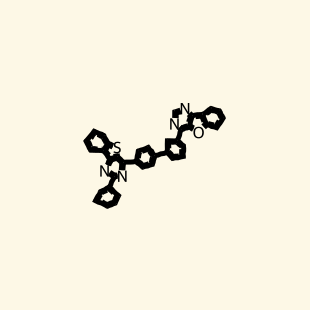 c1ccc(-c2nc(-c3ccc(-c4cccc(-c5ncnc6c5oc5ccccc56)c4)cc3)c3sc4ccccc4c3n2)cc1